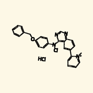 C[n+]1ccccc1-c1ccc2ncnc(N(Cl)c3ccc(OCc4ccccc4)cc3)c2c1.Cl